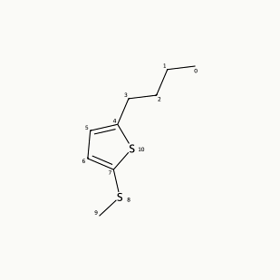 CCCCc1ccc(SC)s1